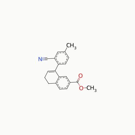 COC(=O)c1ccc2c(c1)C(c1ccc(C)cc1C#N)=CCC2